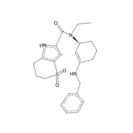 CCN(C(=O)c1cc2c([nH]1)CCCS2(=O)=O)[C@@H]1C=C(NCc2ccccc2)CCC1